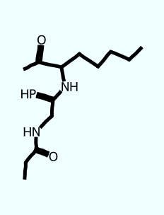 CCCCCC(NC(=P)CNC(=O)CC)C(C)=O